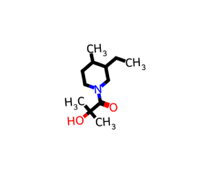 CCC1CN(C(=O)C(C)(C)O)CCC1C